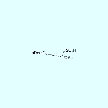 CCCCCCCCCCCCCCCCC(CS(=O)(=O)O)OC(C)=O